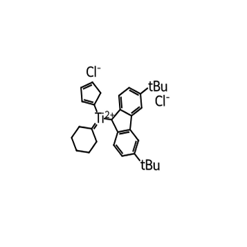 CC(C)(C)c1ccc2c(c1)-c1cc(C(C)(C)C)ccc1[CH]2[Ti+2]([C]1=CC=CC1)=[C]1CCCCC1.[Cl-].[Cl-]